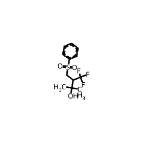 CC(C)(O)C(CS(=O)(=O)c1ccccc1)C(F)(F)F